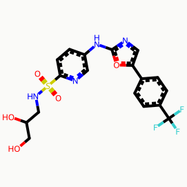 O=S(=O)(NCC(O)CO)c1ccc(Nc2ncc(-c3ccc(C(F)(F)F)cc3)o2)cn1